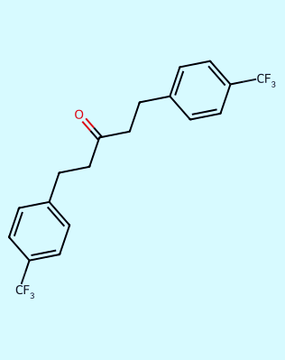 O=C(CCc1ccc(C(F)(F)F)cc1)CCc1ccc(C(F)(F)F)cc1